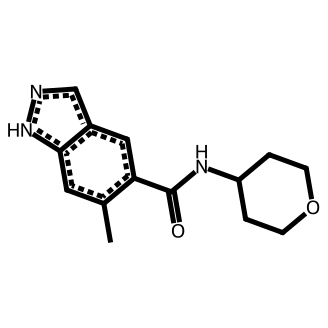 Cc1cc2[nH]ncc2cc1C(=O)NC1CCOCC1